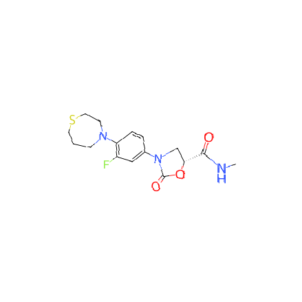 CNC(=O)[C@H]1CN(c2ccc(N3CCCSCC3)c(F)c2)C(=O)O1